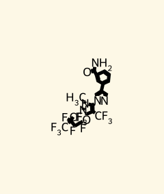 Cn1nc(OC(F)(F)C(F)C(F)(C(F)(F)F)C(F)(F)F)c(C(F)(F)F)c1-n1cc(-c2cccc(C(N)=O)c2)cn1